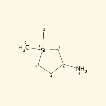 C[Si]1(I)CCC(N)C1